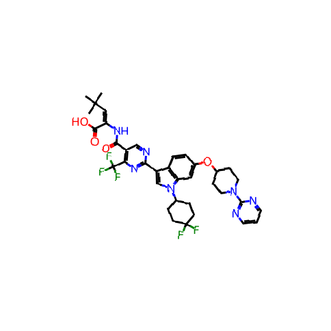 CC(C)(C)/C=C(/NC(=O)c1cnc(-c2cn(C3CCC(F)(F)CC3)c3cc(OC4CCN(c5ncccn5)CC4)ccc23)nc1C(F)(F)F)C(=O)O